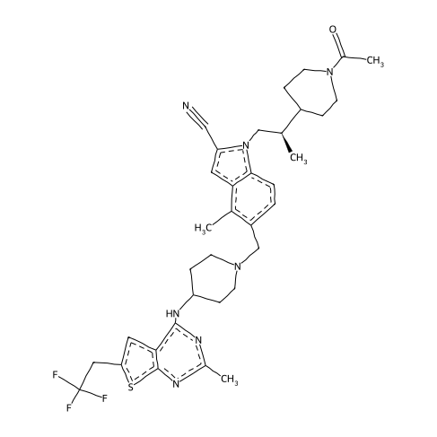 CC(=O)N1CCC([C@@H](C)Cn2c(C#N)cc3c(C)c(CN4CCC(Nc5nc(C)nc6sc(CC(F)(F)F)cc56)CC4)ccc32)CC1